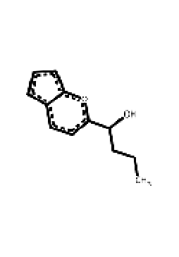 CCCC(O)c1ccc2cccc-2o1